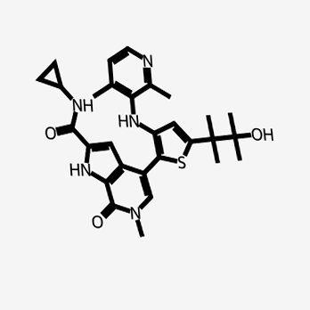 Cc1ccnc(C)c1Nc1cc(C(C)(C)C(C)(C)O)sc1-c1cn(C)c(=O)c2[nH]c(C(=O)NC3CC3)cc12